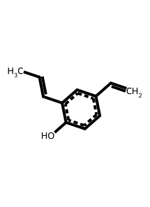 C=Cc1ccc(O)c(C=CC)c1